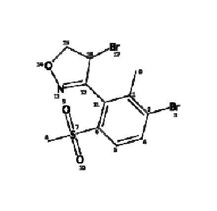 Cc1c(Br)ccc(S(C)(=O)=O)c1C1=NOCC1Br